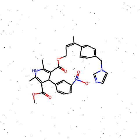 COC(=O)C1=C(C)NC(C)=C(C(=O)OCC=C(C)c2ccc(Cn3ccnc3)cc2)C1c1cccc([N+](=O)[O-])c1